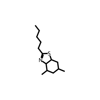 CCCCCC1=NC2C(C)CC(C)CC2S1